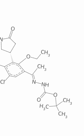 CCOc1c(/C(C)=N/NC(=O)OC(C)(C)C)cc(Cl)c(F)c1[C@@H]1CNC(=O)C1